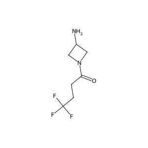 NC1CN(C(=O)CCC(F)(F)F)C1